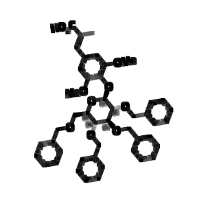 COc1cc(C=C(C)C(=O)O)cc(OC)c1O[C@@H]1O[C@H](COCc2ccccc2)[C@@H](OCc2ccccc2)[C@H](OCc2ccccc2)[C@H]1OCc1ccccc1